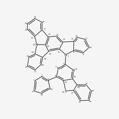 c1ccc(-c2nc(-n3c4ccccc4c4cc5c6ccccc6n6c7ccccc7c(c43)c56)nc3c2sc2ccccc23)cc1